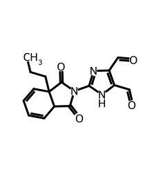 CCCC12C=CC=CC1C(=O)N(c1nc(C=O)c(C=O)[nH]1)C2=O